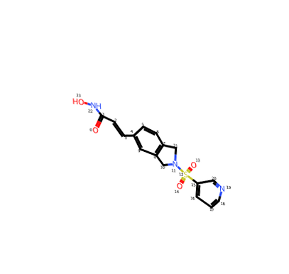 O=C(/C=C/c1ccc2c(c1)CN(S(=O)(=O)c1cccnc1)C2)NO